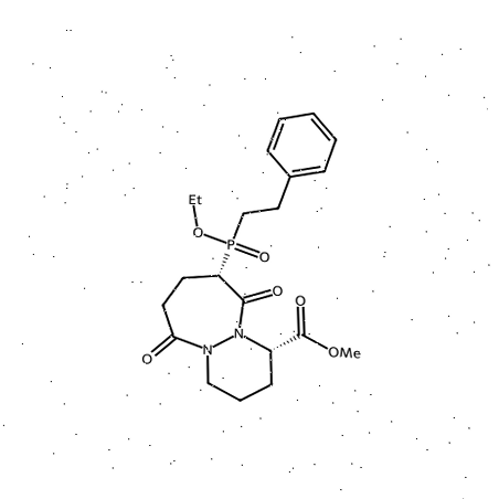 CCOP(=O)(CCc1ccccc1)[C@H]1CCC(=O)N2CCC[C@@H](C(=O)OC)N2C1=O